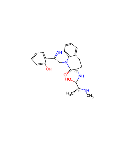 CN[C@@H](C)C(O)N[C@H]1CCc2ccccc2N(CC(=N)c2ccccc2O)C1=O